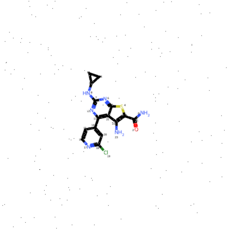 NC(=O)c1sc2nc(NC3CC3)nc(-c3ccnc(Cl)c3)c2c1N